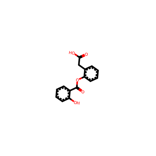 O=C(O)Cc1ccccc1OC(=O)c1ccccc1O